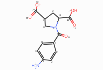 Nc1ccc(C(=O)N2CC(C(=O)O)CC2C(=O)O)cc1